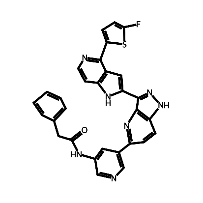 O=C(Cc1ccccc1)Nc1cncc(-c2ccc3[nH]nc(-c4cc5c(-c6ccc(F)s6)nccc5[nH]4)c3n2)c1